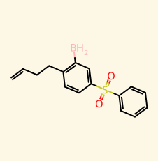 Bc1cc(S(=O)(=O)c2ccccc2)ccc1CCC=C